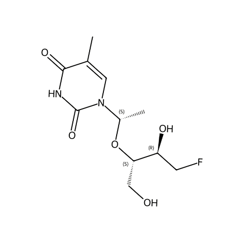 Cc1cn([C@H](C)O[C@@H](CO)[C@@H](O)CF)c(=O)[nH]c1=O